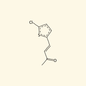 CC(=O)/C=C/c1ccc(Cl)s1